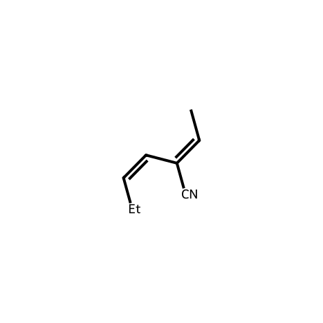 C/C=C(C#N)\C=C/CC